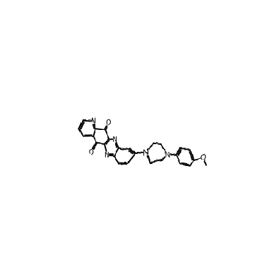 COc1ccc(N2CCN(c3ccc4nc5c(nc4c3)C(=O)c3ncccc3C5=O)CC2)cc1